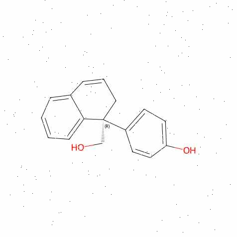 OC[C@@]1(c2ccc(O)cc2)CC=Cc2ccccc21